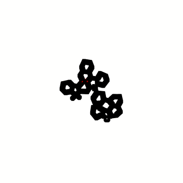 CC1(C)c2ccccc2-c2ccc(N(c3cccc(-c4cccc5ccc6oc7ccccc7c6c45)c3)c3ccccc3-c3cccc4ccccc34)cc21